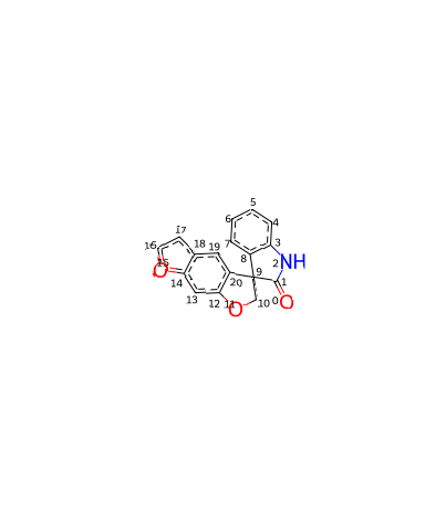 O=C1Nc2ccccc2C12COc1cc3occc3cc12